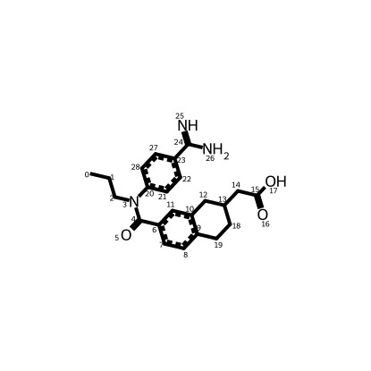 CCCN(C(=O)c1ccc2c(c1)CC(CC(=O)O)CC2)c1ccc(C(=N)N)cc1